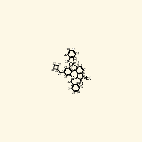 CCN1C(=O)Cc2c1ccc(C)c2-c1c(OCc2ccccc2)cc(CC2CCC2)cc1OCc1ccccc1